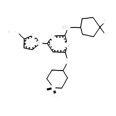 Cc1ccn(-c2cc(OC3CCS(=O)(=O)CC3)nc(NC3CCC(F)(F)CC3)n2)n1